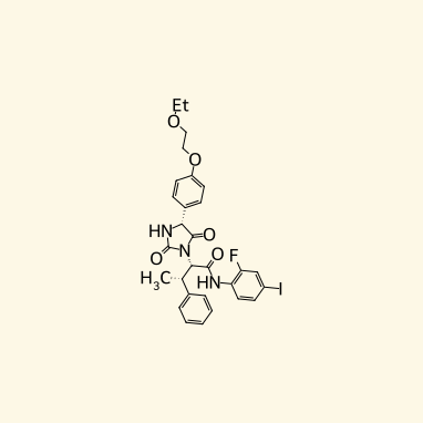 CCOCCOc1ccc([C@H]2NC(=O)N([C@H](C(=O)Nc3ccc(I)cc3F)[C@@H](C)c3ccccc3)C2=O)cc1